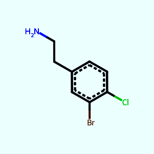 NCCc1ccc(Cl)c(Br)c1